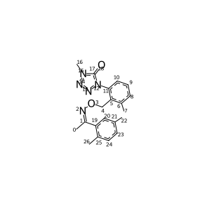 C/C(=N/OCc1c(C)cccc1-n1nnn(C)c1=O)c1cc(C)ccc1C